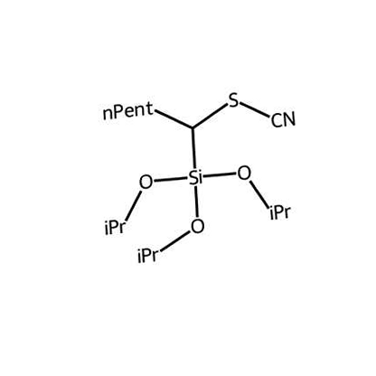 CCCCCC(SC#N)[Si](OC(C)C)(OC(C)C)OC(C)C